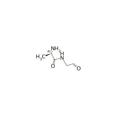 C[C@@H](N)C(=O)NCC=O